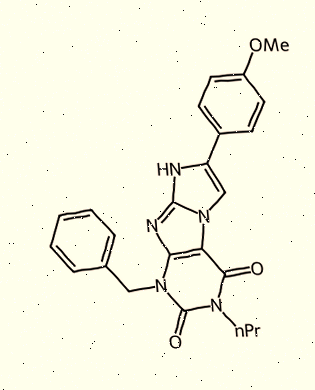 CCCn1c(=O)c2c(nc3[nH]c(-c4ccc(OC)cc4)cn32)n(Cc2ccccc2)c1=O